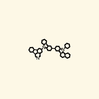 c1ccc(-n2c3ccc(-c4ccc5c(c4)c4ccccc4n5-c4cc5c6c(cncc6c4)-c4ccccc4-5)cc3c3ccc4ccccc4c32)cc1